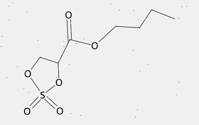 CCCCOC(=O)C1COS(=O)(=O)O1